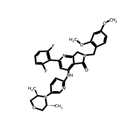 COc1ccc(CN2Cc3nc(-c4c(F)cccc4F)cc(Nc4ccc(N5[C@H](C)COC[C@H]5C)cn4)c3C2=O)c(OC)c1